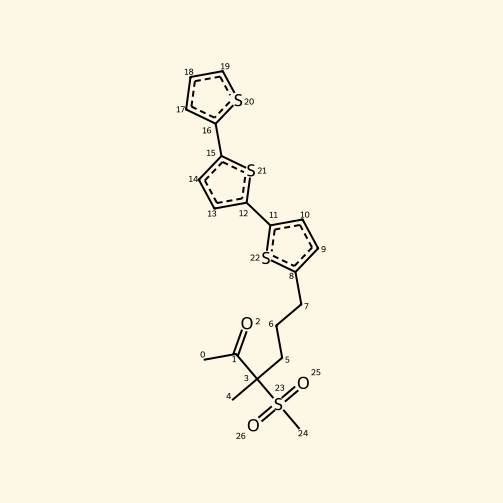 CC(=O)C(C)(CCCc1ccc(-c2ccc(-c3cccs3)s2)s1)S(C)(=O)=O